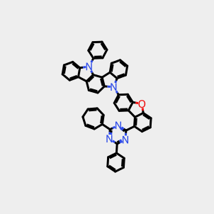 C1=CCC=CC(c2nc(-c3ccccc3)nc(-c3cccc4oc5cc(-n6c7ccccc7c7c6ccc6c8ccccc8n(-c8ccccc8)c67)ccc5c34)n2)=C1